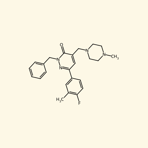 Cc1cc(-c2cc(CN3CCN(C)CC3)c(=O)n(Cc3ccccc3)n2)ccc1F